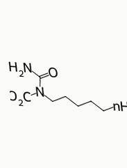 CCCCCCCCCCCCN(C(N)=O)C(=O)O